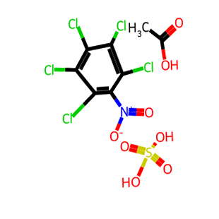 CC(=O)O.O=S(=O)(O)O.O=[N+]([O-])c1c(Cl)c(Cl)c(Cl)c(Cl)c1Cl